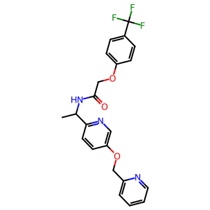 CC(NC(=O)COc1ccc(C(F)(F)F)cc1)c1ccc(OCc2ccccn2)cn1